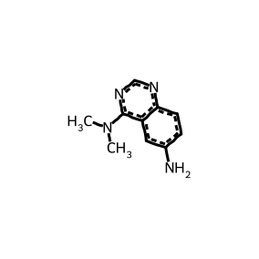 CN(C)c1ncnc2ccc(N)cc12